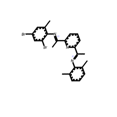 C/C(=N\c1c(C)cccc1C)c1cccc(/C(C)=N/c2c(C)cc(Br)cc2Br)n1